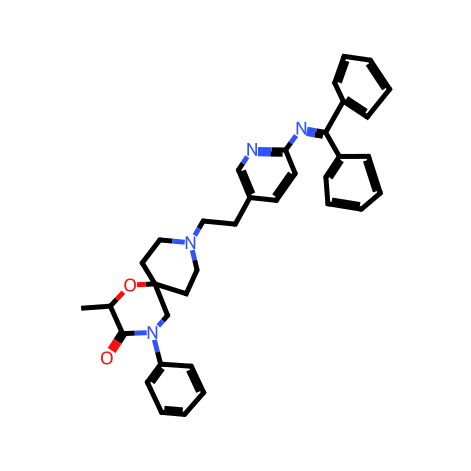 CC1OC2(CCN(CCc3ccc(N=C(c4ccccc4)c4ccccc4)nc3)CC2)CN(c2ccccc2)C1=O